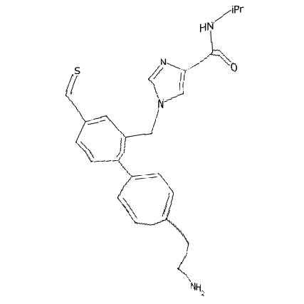 CC(C)NC(=O)c1cn(Cc2cc(C=S)ccc2-c2ccc(CCN)cc2)cn1